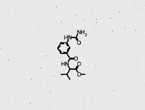 COC(=O)C(NC(=O)c1cccc(NC(N)=O)c1)C(C)C